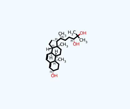 C[C@H](CC[C@@H](O)C(C)(C)O)[C@H]1CC[C@H]2[C@@H]3C=CC4=C[C@@H](O)CC[C@]4(C)[C@H]3CC[C@]12C